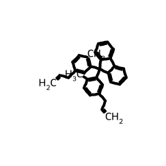 C=CCc1ccc(C)c(C2(c3cc(CC=C)ccc3C)c3ccccc3-c3ccccc32)c1